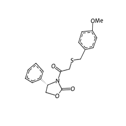 COc1ccc(CSCC(=O)N2C(=O)OC[C@@H]2c2ccccc2)cc1